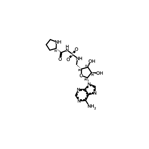 Nc1ncnc2c1ncn2[C@@H]1O[C@H](CNS(=O)(=O)NC(=O)[C@@H]2CCCN2)[C@@H](O)[C@H]1O